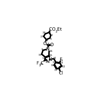 CCOC(=O)C1CCC(OC(=O)N2CCc3c(C(F)(F)F)nn(Cc4ccc(Cl)cc4F)c3C2)CC1